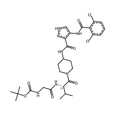 CC(C)[C@H](NC(=O)CNC(=O)OC(C)(C)C)C(=O)N1CCC(NC(=O)c2n[nH]cc2NC(=O)c2c(Cl)cccc2Cl)CC1